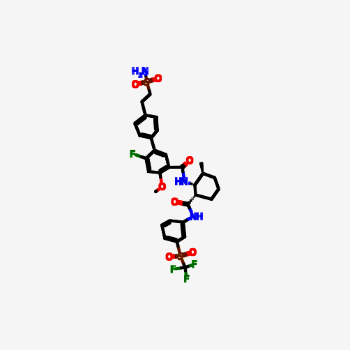 COc1cc(F)c(-c2ccc(CCS(N)(=O)=O)cc2)cc1C(=O)N[C@H]1[C@@H](C(=O)Nc2cccc(S(=O)(=O)C(F)(F)F)c2)CCC[C@@H]1C